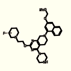 COCOc1cc(N2CCc3c(nc(OCCN4CCC[C@@H](F)C4)nc3N3CCNCC3)C2)c2ccccc2c1